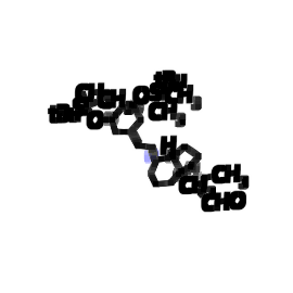 CC(CC=O)[C@H]1CC[C@H]2/C(=C/C=C3C[C@@H](O[Si](C)(C)C(C)(C)C)C[C@H](O[Si](C)(C)C(C)(C)C)C3)CCC[C@]12C